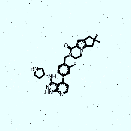 CC1(C)Cc2cc3n(c2C1)CCN(Cc1ccc(-c2ccnc4[nH]nc(N[C@@H]5CCNC5)c24)cc1F)C3=O